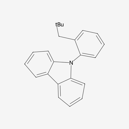 CC(C)(C)Cc1ccccc1-n1c2ccccc2c2ccccc21